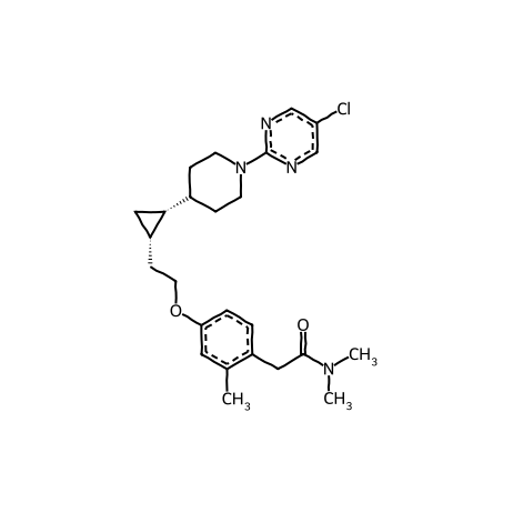 Cc1cc(OCC[C@@H]2C[C@@H]2C2CCN(c3ncc(Cl)cn3)CC2)ccc1CC(=O)N(C)C